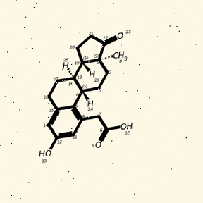 C[C@]12CC[C@@H]3c4c([CH]C(=O)O)cc(O)cc4CC[C@H]3[C@@H]1CCC2=O